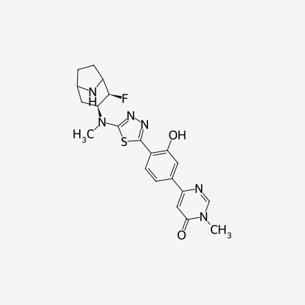 CN(c1nnc(-c2ccc(-c3cc(=O)n(C)cn3)cc2O)s1)[C@H]1CC2CCC(N2)[C@H]1F